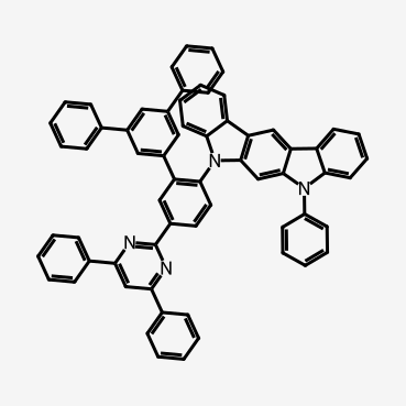 c1ccc(-c2cc(-c3ccccc3)cc(-c3cc(-c4nc(-c5ccccc5)cc(-c5ccccc5)n4)ccc3-n3c4ccccc4c4cc5c6ccccc6n(-c6ccccc6)c5cc43)c2)cc1